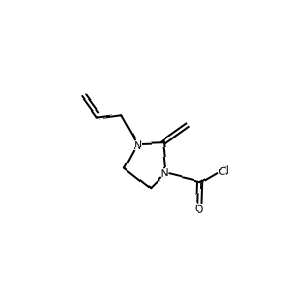 C=CCN1CCN(C(=O)Cl)C1=C